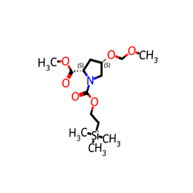 COCO[C@H]1C[C@@H](C(=O)OC)N(C(=O)OCC[Si](C)(C)C)C1